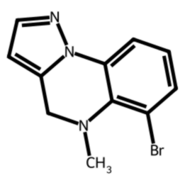 CN1Cc2ccnn2-c2cccc(Br)c21